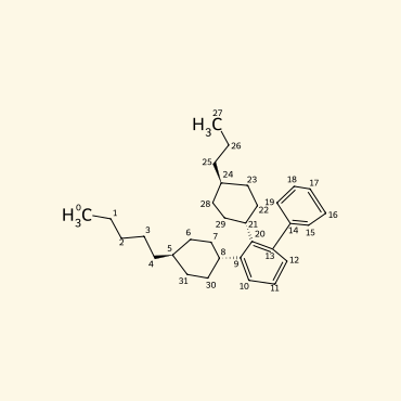 CCCCC[C@H]1CC[C@H](c2cccc(-c3ccccc3)c2[C@H]2CC[C@H](CCC)CC2)CC1